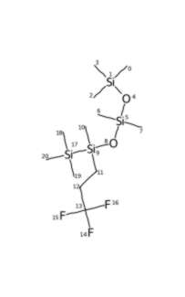 C[Si](C)(C)O[Si](C)(C)O[Si](C)(CCC(F)(F)F)[Si](C)(C)C